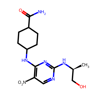 C[C@@H](CO)Nc1ncc([N+](=O)[O-])c(NC2CCC(C(N)=O)CC2)n1